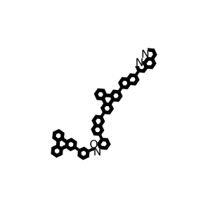 c1cc(-c2ccc3c4ccccc4c4ccccc4c3c2)cc(-c2nc3cccc(-c4ccc5ccc(-c6ccc7c8ccc(-c9ccc%10cc(-c%11cnc%12c(ccc%13cccnc%13%12)c%11)ccc%10c9)cc8c8ccccc8c7c6)cc5c4)c3o2)c1